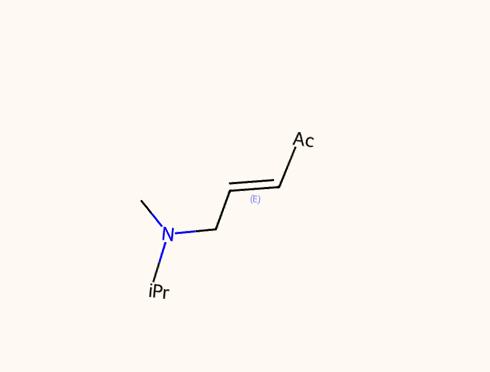 CC(=O)/C=C/CN(C)C(C)C